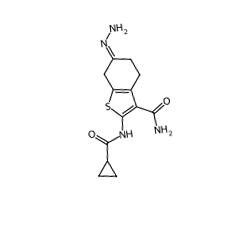 NN=C1CCc2c(sc(NC(=O)C3CC3)c2C(N)=O)C1